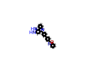 N=C1C=Cc2c(-c3ccc(-c4ccc(-c5nc6ccccc6o5)cc4)cc3)nc3ccccc3c2C1=N